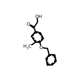 Cc1cc(C(=O)CO)ccc1OCc1ccccc1